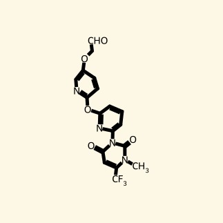 Cn1c(C(F)(F)F)cc(=O)n(-c2cccc(Oc3ccc(OCC=O)cn3)n2)c1=O